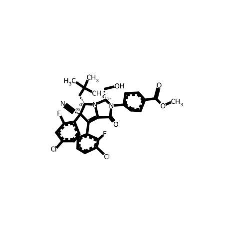 COC(=O)c1ccc(N2C(=O)C3=C(c4cccc(Cl)c4F)[C@@](C#N)(c4ccc(Cl)cc4F)[C@H](CC(C)(C)C)N3[C@@H]2CO)cc1